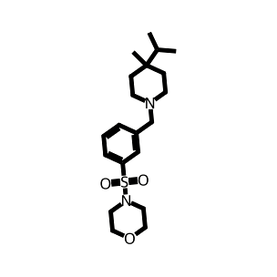 CC(C)C1(C)CCN(Cc2cccc(S(=O)(=O)N3CCOCC3)c2)CC1